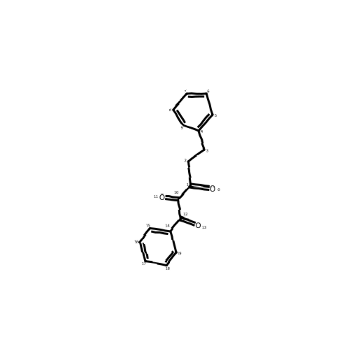 O=C(CCc1ccccc1)C(=O)C(=O)c1ccccc1